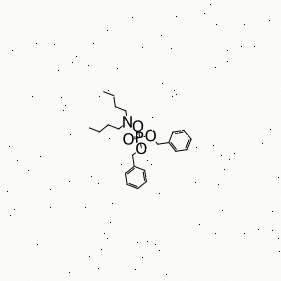 CCCCN(CCCC)OP(=O)(OCc1ccccc1)OCc1ccccc1